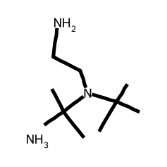 CC(C)(C)N(CCN)C(C)(C)C.N